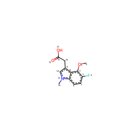 COc1c(F)ccc2c1c(CC(=O)O)cn2C